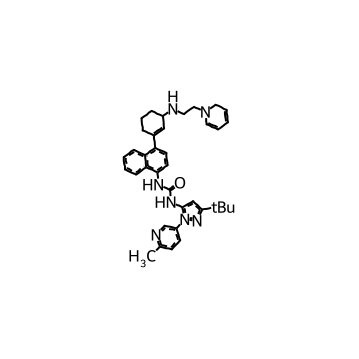 Cc1ccc(-n2nc(C(C)(C)C)cc2NC(=O)Nc2ccc(C3=CC(NCCN4C=CC=CC4)CCC3)c3ccccc23)cn1